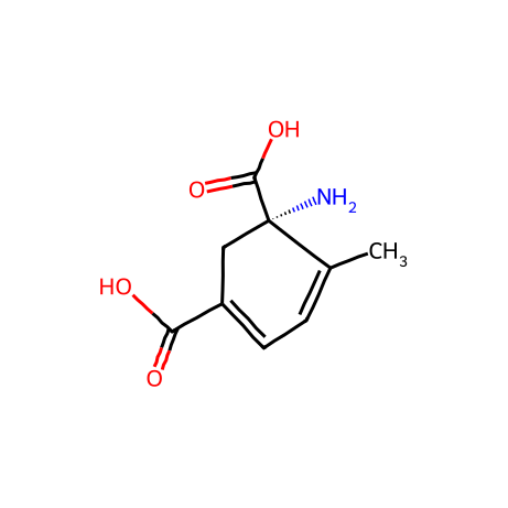 CC1=CC=C(C(=O)O)C[C@@]1(N)C(=O)O